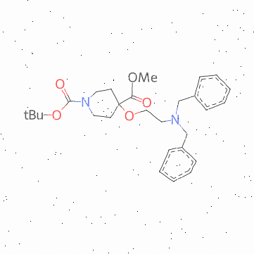 COC(=O)C1(OCCN(Cc2ccccc2)Cc2ccccc2)CCN(C(=O)OC(C)(C)C)CC1